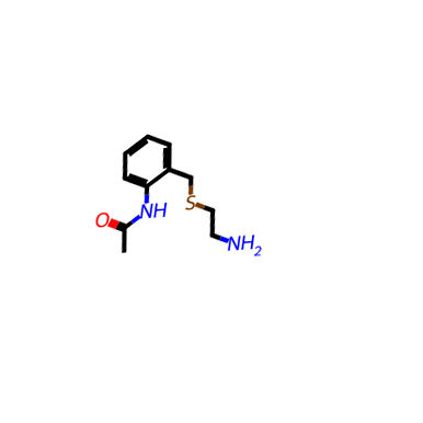 CC(=O)Nc1ccccc1CSCCN